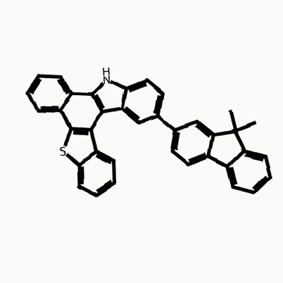 CC1(C)c2ccccc2-c2ccc(-c3ccc4[nH]c5c6ccccc6c6sc7ccccc7c6c5c4c3)cc21